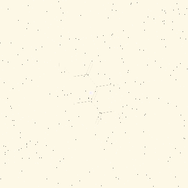 CCCC/C(C(=O)OO)=C(/CCCC)C(=O)OO